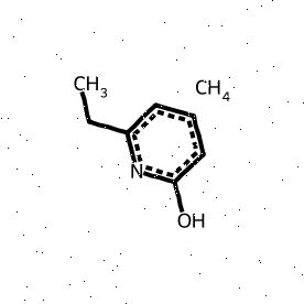 C.CCc1cccc(O)n1